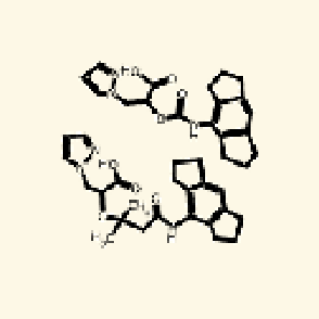 CC(C)(CC(=O)Nc1c2c(cc3c1CCC3)CCC2)OC(Cn1cccn1)C(=O)O.O=C(Nc1c2c(cc3c1CCC3)CCC2)OC(Cn1cccn1)C(=O)O